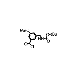 COc1cc(CNC(=O)OC(C)(C)C)cc(C(=O)Cl)c1